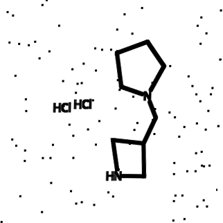 C1CCN(CC2CNC2)C1.Cl.Cl